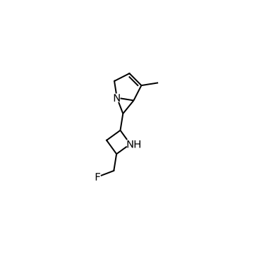 CC1=CCN2C1C2C1CC(CF)N1